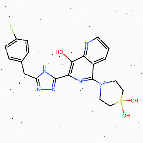 Oc1c(-c2nnc(Cc3ccc(F)cc3)[nH]2)nc(N2CCS(O)(O)CC2)c2cccnc12